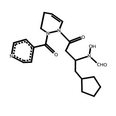 O=CN(O)C(CC(=O)N1C=CCCN1C(=O)c1ccncc1)CC1CCCC1